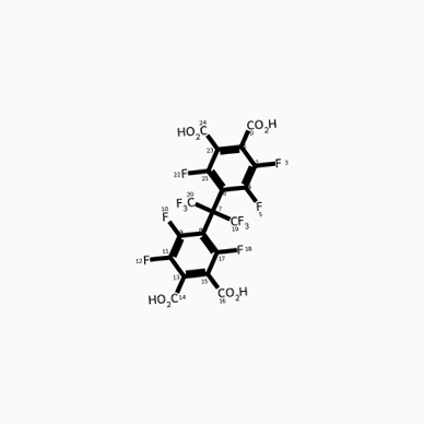 O=C(O)c1c(F)c(F)c(C(c2c(F)c(F)c(C(=O)O)c(C(=O)O)c2F)(C(F)(F)F)C(F)(F)F)c(F)c1C(=O)O